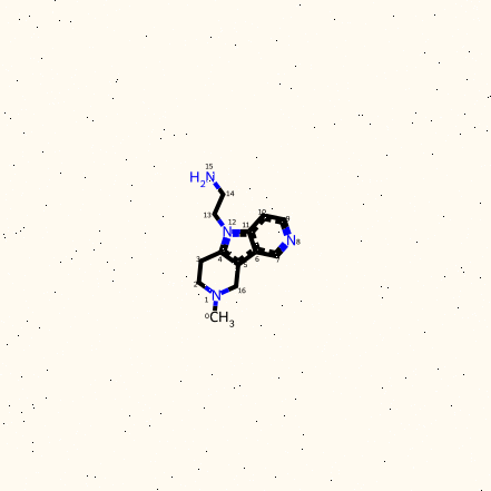 CN1CCc2c(c3cnccc3n2CCN)C1